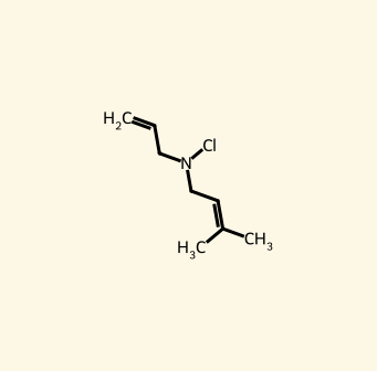 C=CCN(Cl)CC=C(C)C